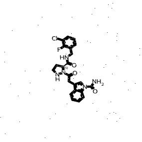 NC(=O)n1cc(CC(=O)N2NCC[C@H]2C(=O)NCc2cccc(Cl)c2F)c2ccccc21